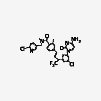 Cc1cc(/C=C/C(c2cc(Cl)cc(-n3ccc(N)nc3=O)c2)C(F)(F)F)ccc1C(=O)N(C)Cc1ccc(Cl)nc1